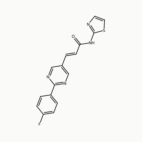 O=C(C=Cc1cnc(-c2ccc(F)cc2)nc1)Nc1nccs1